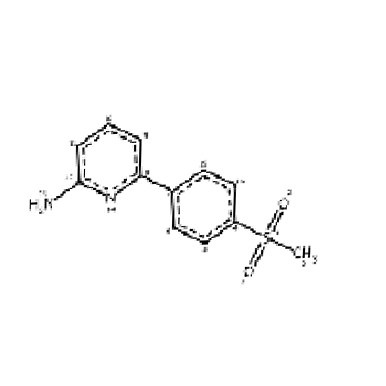 CS(=O)(=O)c1ccc(-c2cccc(N)n2)cc1